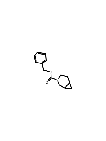 O=C(OCc1ccccc1)N1CCC2CC2C1